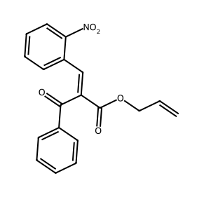 C=CCOC(=O)C(=Cc1ccccc1[N+](=O)[O-])C(=O)c1ccccc1